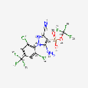 N#Cc1nn(-c2c(Cl)cc(C(F)(F)F)cc2Cl)c(N)c1S(=O)(=O)OC(F)(F)F